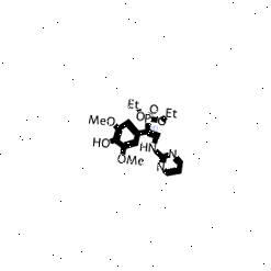 CCOP(=O)(OCC)/C(=C/Nc1ncccn1)c1cc(OC)c(O)c(OC)c1